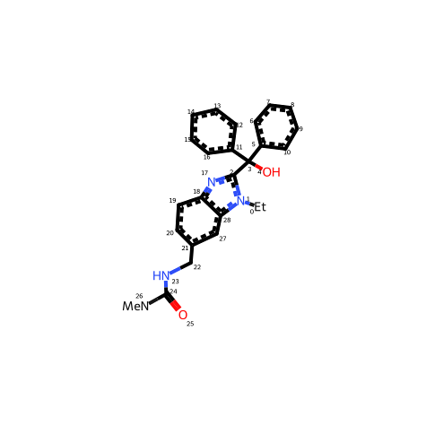 CCn1c(C(O)(c2ccccc2)c2ccccc2)nc2ccc(CNC(=O)NC)cc21